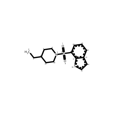 CCC1CCN(S(=O)(=O)c2cccc3ccsc23)CC1